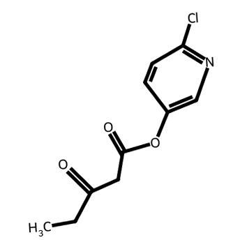 CCC(=O)CC(=O)Oc1ccc(Cl)nc1